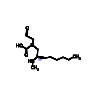 CCCCC/C=C(\CN(CC=O)C(=O)O)NC